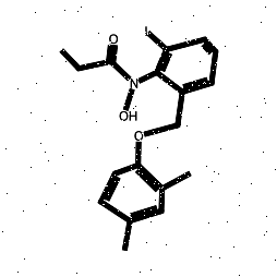 CCC(=O)N(O)c1c(I)cccc1COc1ccc(C)cc1C